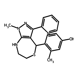 Cc1cc(O)ccc1C1SCCNc2c1c(-c1ccccn1)nn2C